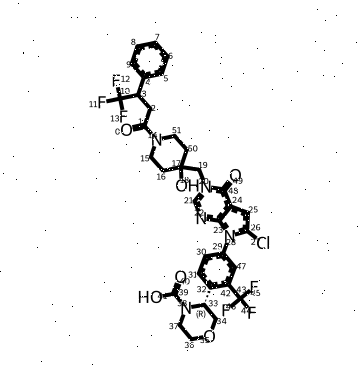 O=C(CC(c1ccccc1)C(F)(F)F)N1CCC(O)(Cn2cnc3c(cc(Cl)n3-c3ccc([C@@H]4COCCN4C(=O)O)c(C(F)(F)F)c3)c2=O)CC1